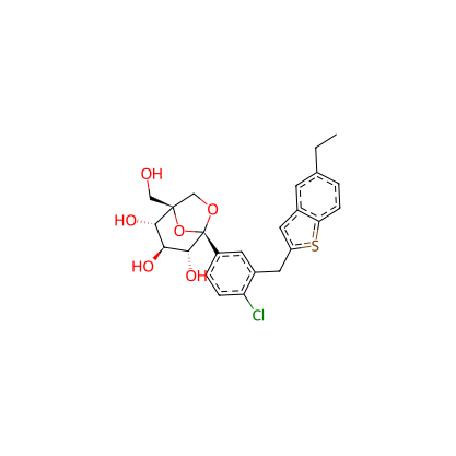 CCc1ccc2sc(Cc3cc([C@]45OC[C@](CO)(O4)[C@@H](O)[C@H](O)[C@H]5O)ccc3Cl)cc2c1